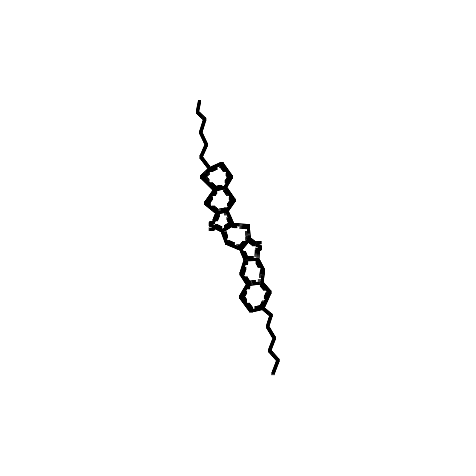 CCCCCCc1ccc2cc3c(cc2c1)sc1cc2c(cc13)sc1cc3cc(CCCCCC)ccc3cc12